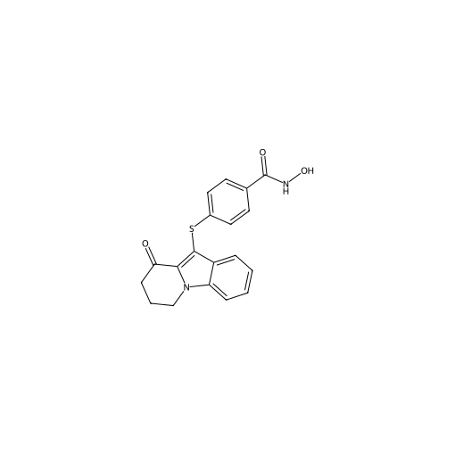 O=C(NO)c1ccc(Sc2c3n(c4ccccc24)CCCC3=O)cc1